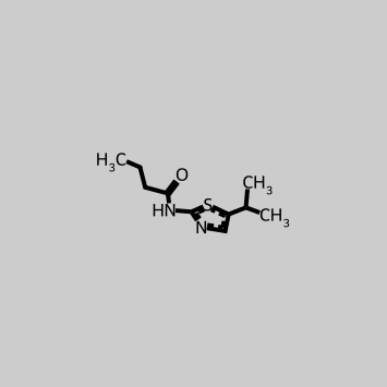 CCCC(=O)Nc1ncc(C(C)C)s1